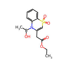 CCOC(=O)CC1=CS(=O)(=O)c2ccccc2N1B(C)O